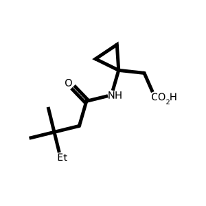 CCC(C)(C)CC(=O)NC1(CC(=O)O)CC1